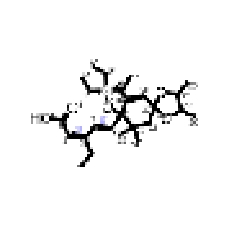 CCC(=C/C(=O)O)/C=C/C1(O[Si](CC)(CC)CC)C(C)=CC2(CC1(C)C)OC(C)C(C)O2